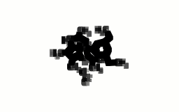 CCc1cc(CC)cc([Si](CC(C)C)(CC(C)C)C2(C)C(C)=C(C)C(C)=[C]2[Ti+3])c1.[Cl-].[Cl-].[Cl-]